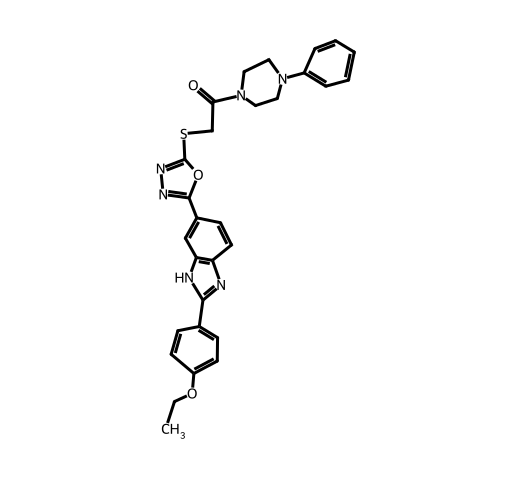 CCOc1ccc(-c2nc3ccc(-c4nnc(SCC(=O)N5CCN(c6ccccc6)CC5)o4)cc3[nH]2)cc1